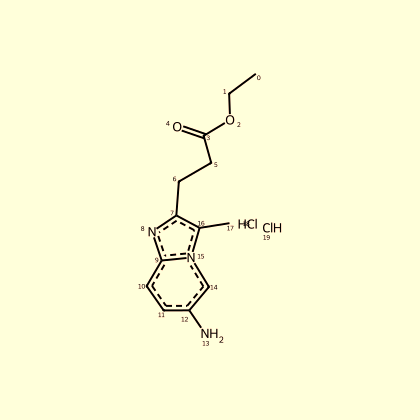 CCOC(=O)CCc1nc2ccc(N)cn2c1C.Cl.Cl